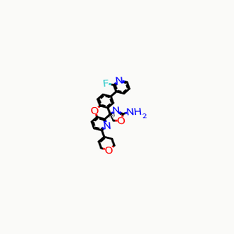 NC1=N[C@@]2(CO1)c1cc(-c3cccnc3F)ccc1Oc1ccc(C3=CCOCC3)nc12